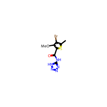 COc1c(C(=O)Nc2nnn[nH]2)sc(C)c1Br